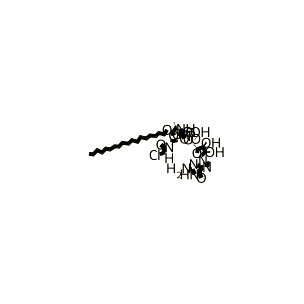 CCCCCCCCCCCCCCCCCCOC(=O)[C@H](C)NP(=O)(OCCNC(=O)CCl)OP(=O)(O)OC[C@H]1O[C@@H](n2cnc3c(=O)[nH]c(N)nc32)[C@H](O)[C@@H]1O